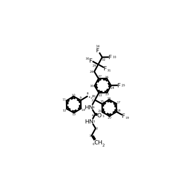 C=CCNC(=O)N[C@](Cc1ccccc1)(c1ccc(F)cc1)c1cc(F)cc(CC(F)(F)C(F)F)c1